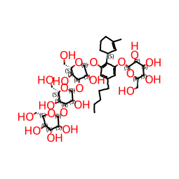 CCCCCc1cc(O[C@H]2O[C@@H](CO)[C@H](O)[C@@H](O[C@H]3O[C@@H](CO)[C@H](O)[C@@H](O[C@H]4O[C@@H](CO)[C@H](O)[C@@H](O)[C@@H]4O)[C@@H]3O)[C@@H]2O)c([C@@H]2C=C(C)CCC2)c(O[C@@H]2O[C@H](CO)[C@@H](O)[C@H](O)[C@H]2O)c1